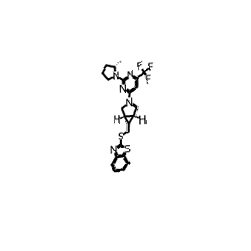 C[C@H]1CCCN1c1nc(N2C[C@@H]3C(CSc4nc5ccccc5s4)[C@@H]3C2)cc(C(F)(F)F)n1